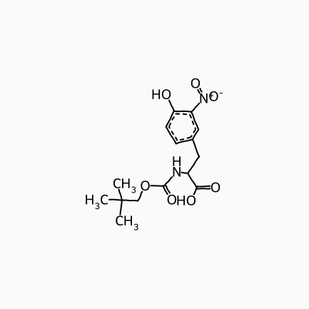 CC(C)(C)COC(=O)NC(Cc1ccc(O)c([N+](=O)[O-])c1)C(=O)O